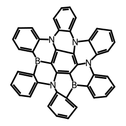 c1ccc2c(c1)B1c3ccccc3N3c4ccccc4N4c5ccccc5N5c6ccccc6B6c7ccccc7N2c2c1c3c4c5c26